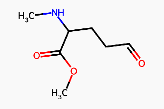 CNC(CCC=O)C(=O)OC